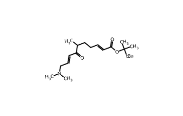 CC(CC/C=C/C(=O)OC(C)(C)C(C)(C)C)C(=O)/C=C/CN(C)C